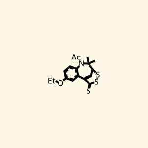 CCOc1ccc2c(c1)C1=CC(SSC1=S)C(C)(C)N2C(C)=O